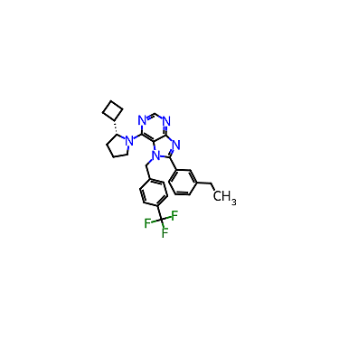 CCc1cccc(-c2nc3ncnc(N4CCC[C@@H]4C4CCC4)c3n2Cc2ccc(C(F)(F)F)cc2)c1